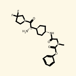 CN(CC(=O)N[C@H]1CC[C@H]([C@H](N)C(=O)N2CCC(F)(F)C2)CC1)C(=O)Oc1ccccc1